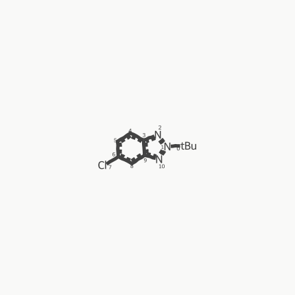 CC(C)(C)n1nc2ccc(Cl)cc2n1